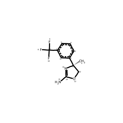 C[C@]1(c2cccc(C(F)(F)F)c2)COC(N)=N1